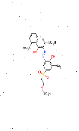 O=[N+]([O-])c1cc(S(=O)(=O)CCOS(=O)(=O)O)cc(/N=N/c2c(S(=O)(=O)O)cc3cccc(S(=O)(=O)O)c3c2O)c1O